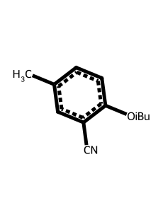 Cc1ccc(OCC(C)C)c(C#N)c1